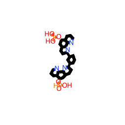 O=[PH](O)Oc1cc2ccc(-c3cccc(-c4ccc5cc(OP(O)O)c6cccnc6c5n4)c3)nc2c2ncccc12